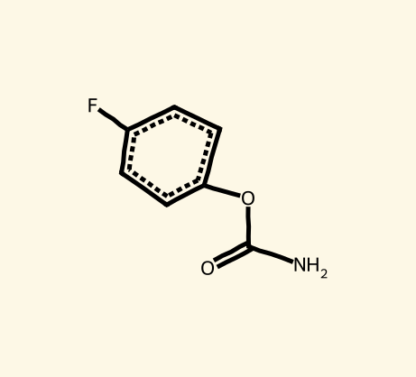 NC(=O)Oc1ccc(F)cc1